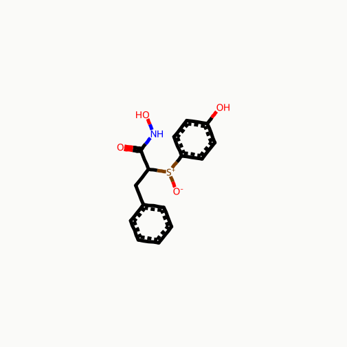 O=C(NO)C(Cc1ccccc1)[S+]([O-])c1ccc(O)cc1